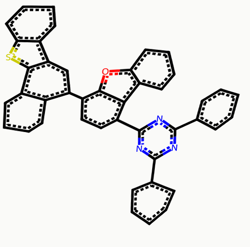 c1ccc(-c2nc(-c3ccccc3)nc(-c3ccc(-c4cc5c6ccccc6sc5c5ccccc45)c4oc5ccccc5c34)n2)cc1